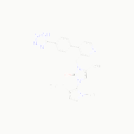 CCCCc1cn(-c2c(C(=O)OCC)ccn2CCC)c(=O)n1Cc1cnccc1-c1ccc(-c2nnn[nH]2)cc1